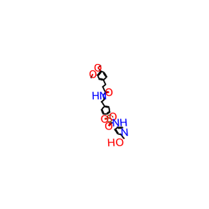 COc1ccc(CCC(=O)NCCc2ccc(S(=O)(=O)C(=O)Nc3ccc(CO)nc3)cc2)cc1OC